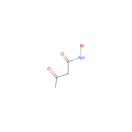 CC(=O)CC(=O)NBr